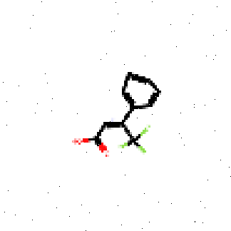 O=C(O)/C=C(/c1ccccc1)C(F)(F)F